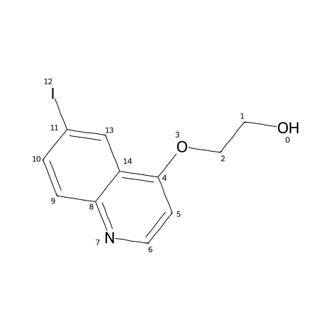 OCCOc1ccnc2ccc(I)cc12